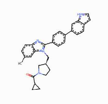 N#Cc1ccc2nc(-c3ccc(-c4ccc5cc[nH]c5c4)cc3)n(C[C@H]3CCN(C(=O)C4CC4)C3)c2c1